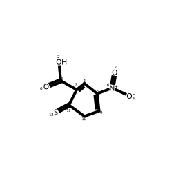 O=C(O)C1=CC([N+](=O)[O-])=CCC1=S